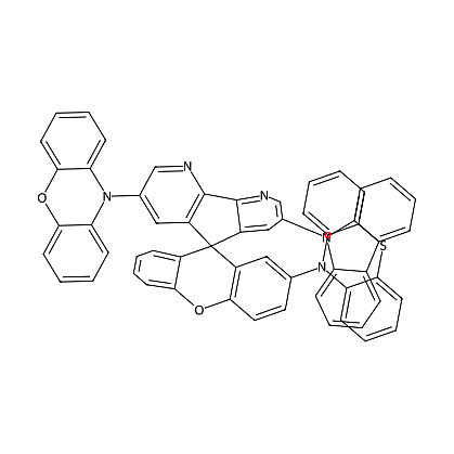 c1ccc2c(c1)Oc1ccccc1N2c1cnc2c(c1)C1(c3ccccc3Oc3ccc(N4c5ccccc5Sc5ccccc54)cc31)c1cc(-n3c4ccccc4c4ccccc43)cnc1-2